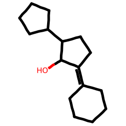 OC1C(=C2CCCCC2)CCC1C1CCCC1